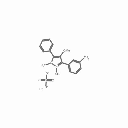 COc1c(-c2ccccc2)n(C)[n+](C)c1-c1cccc(C)c1.O=S(=O)([O-])[O-].[H+]